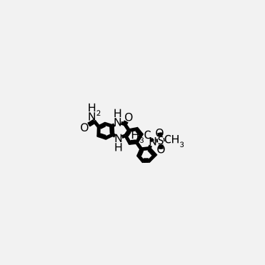 CN(c1ccccc1-c1ccc2c(c1)Nc1ccc(C(N)=O)cc1NC2=O)S(C)(=O)=O